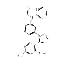 O=CN(c1cccc(-n2nccc2-c2ccc(O)cc2O)c1)c1ccccn1